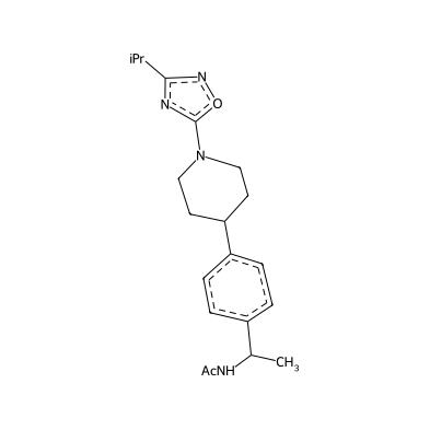 CC(=O)NC(C)c1ccc(C2CCN(c3nc(C(C)C)no3)CC2)cc1